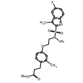 CCCN(CCOc1ccc(CCC(=O)OC)c(C)c1)S(=O)(=O)c1sc2ccc(F)cc2c1C